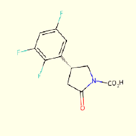 O=C(O)N1C[C@@H](c2cc(F)cc(F)c2F)CC1=O